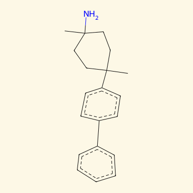 CC1(N)CCC(C)(c2ccc(-c3ccccc3)cc2)CC1